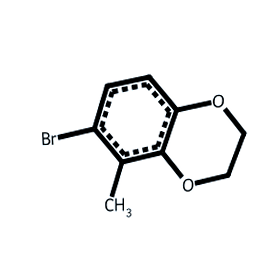 Cc1c(Br)ccc2c1OCCO2